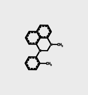 Cc1ccccc1N1CN(C)c2cccc3cccc1c23